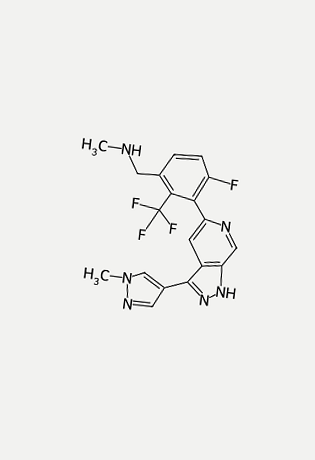 CNCc1ccc(F)c(-c2cc3c(-c4cnn(C)c4)n[nH]c3cn2)c1C(F)(F)F